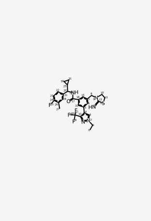 CCn1cc(-c2cc(CN3CCSC3=N)cc(C(=O)NC(c3ccc(F)c(C)c3)C3CC3)c2)c(C(F)(F)F)n1